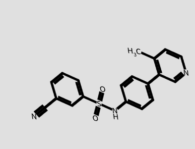 Cc1ccncc1-c1ccc(NS(=O)(=O)c2cccc(C#N)c2)cc1